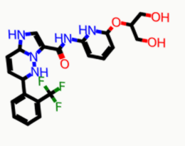 O=C(NC1=CC=CC(OC(CO)CO)N1)C1=CNC2C=CC(c3ccccc3C(F)(F)F)NN12